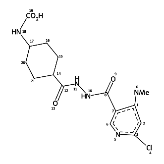 CNc1cc(Cl)ncc1C(=O)NNC(=O)C1CCC(NC(=O)O)CC1